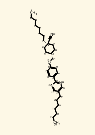 CCCCCCCC[C@]1(C#N)CC[C@H](COc2ccc(-c3ncc(CCCCCCC)cn3)cc2)CC1